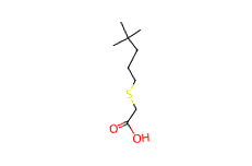 CC(C)(C)CCCSCC(=O)O